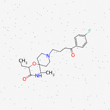 CCC1OC2(CCN(CCCC(=O)c3ccc(F)cc3)CC2)C(C)NC1=O